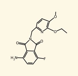 CCOc1nc(CN2C(=O)c3c(N)ccc(F)c3C2=O)ccc1OC